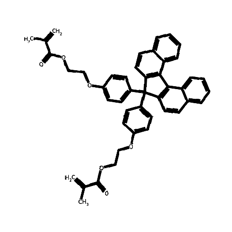 C=C(C)C(=O)OCCOc1ccc(C2(c3ccc(OCCOC(=O)C(=C)C)cc3)c3ccc4ccccc4c3-c3c2ccc2ccccc32)cc1